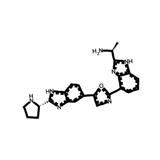 C[C@H](N)c1nc2c(-c3ncc(-c4ccc5[nH]c([C@@H]6CCCN6)nc5c4)o3)cccc2[nH]1